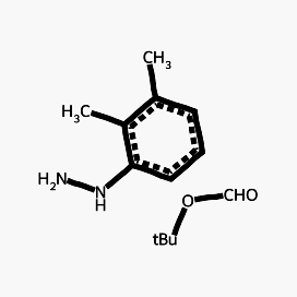 CC(C)(C)OC=O.Cc1cccc(NN)c1C